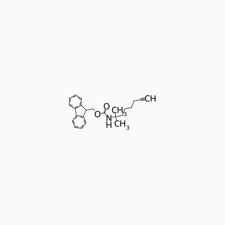 C#CCCCCC(C)(C)NC(=O)OCC1c2ccccc2-c2ccccc21